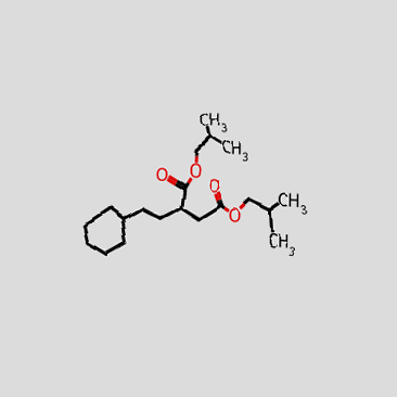 CC(C)COC(=O)CC(CCC1CCCCC1)C(=O)OCC(C)C